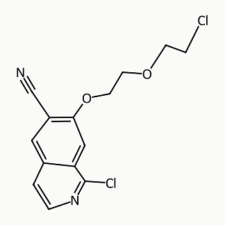 N#Cc1cc2ccnc(Cl)c2cc1OCCOCCCl